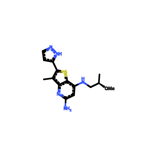 CO[C@H](C)CNc1cc(N)nc2c(C)c(-c3ccn[nH]3)sc12